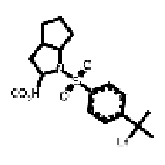 CCC(C)(C)c1ccc(S(=O)(=O)N2C(C(=O)O)CC3CCCC32)cc1